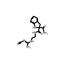 N#CN=C(N)NCCNC(=O)C1(C(N)=O)Cc2cc[c]cc2N1